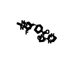 Cc1nc2c(F)cc(C[C@H]3CC[C@H](C(=O)N4OCC[C@H]4c4cnccn4)CC3)cn2n1